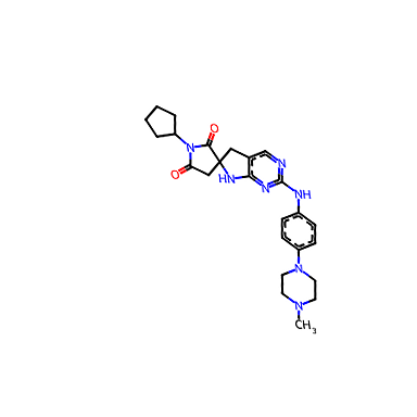 CN1CCN(c2ccc(Nc3ncc4c(n3)NC3(CC(=O)N(C5CCCC5)C3=O)C4)cc2)CC1